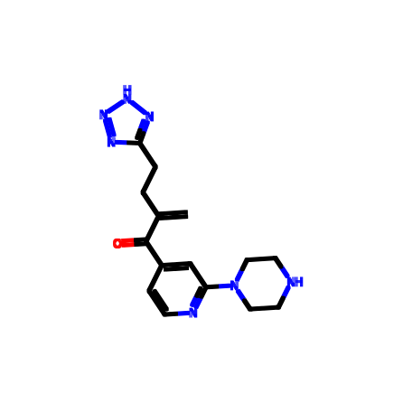 C=C(CCc1nn[nH]n1)C(=O)c1ccnc(N2CCNCC2)c1